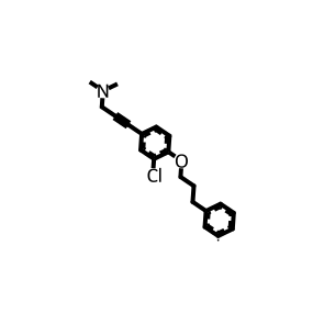 CN(C)CC#Cc1ccc(OCCCc2c[c]ccc2)c(Cl)c1